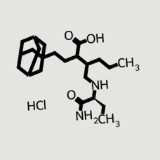 CCCC(CN[C@@H](CC)C(N)=O)C(CCC12CC3CC(CC(C3)C1)C2)C(=O)O.Cl